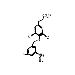 CCNc1cc(F)cc(COc2c(Cl)cc(CCC(=O)O)cc2Cl)c1